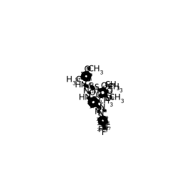 COc1ccc(N/C(=N/C(=O)Nc2ccc(-c3ncn(-c4ccc(C(F)(F)F)cc4)n3)cc2)SCS[C@@H]2O[C@@H](C)[C@H](OC)[C@@H](OC)[C@H]2OC)c(C)c1